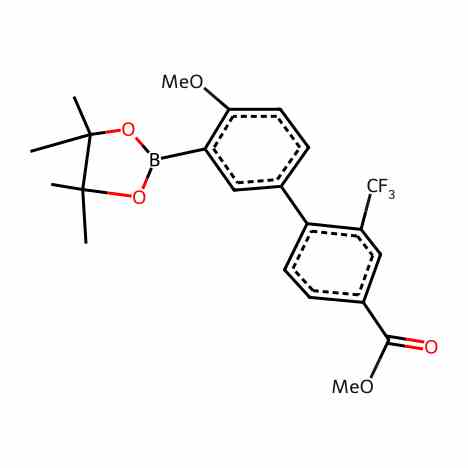 COC(=O)c1ccc(-c2ccc(OC)c(B3OC(C)(C)C(C)(C)O3)c2)c(C(F)(F)F)c1